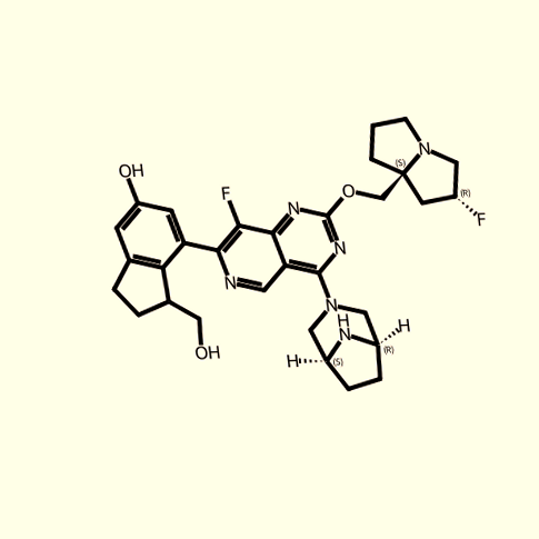 OCC1CCc2cc(O)cc(-c3ncc4c(N5C[C@H]6CC[C@@H](C5)N6)nc(OC[C@@]56CCCN5C[C@H](F)C6)nc4c3F)c21